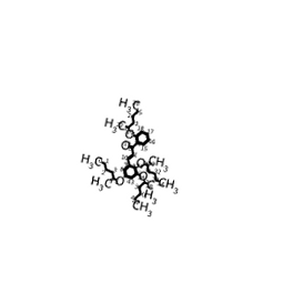 CCCCC(C)Oc1cc(C=CC(=O)c2ccccc2OC(C)CCCC)c(OC(C)CCCC)c(OC(C)CCCC)c1